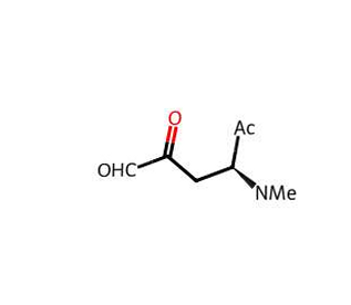 CN[C@@H](CC(=O)C=O)C(C)=O